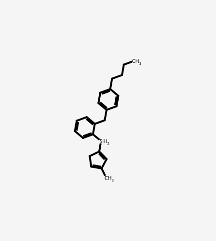 CCCCc1ccc(Cc2ccccc2[SiH2]C2=CC(C)=CC2)cc1